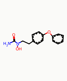 NC(=O)N(O)CCc1ccc(Oc2ccccc2)cc1